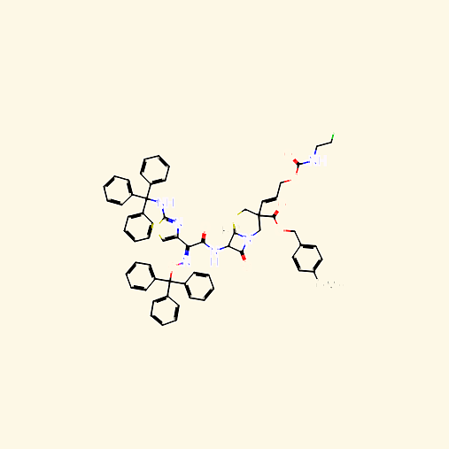 COc1ccc(COC(=O)C2(C=CCOC(=O)NCCCl)CS[C@@H]3C(NC(=O)C(=NOC(c4ccccc4)(c4ccccc4)c4ccccc4)c4csc(NC(c5ccccc5)(c5ccccc5)c5ccccc5)n4)C(=O)N3C2)cc1